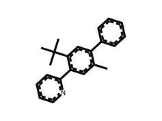 Cc1cc(-c2ccccn2)c(C(C)(C)C)cc1-c1ccccc1